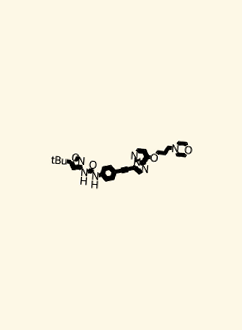 CC(C)(C)c1cc(NC(=O)Nc2ccc(C#Cc3cnc4c(OCCCN5CCOCC5)ccnn34)cc2)no1